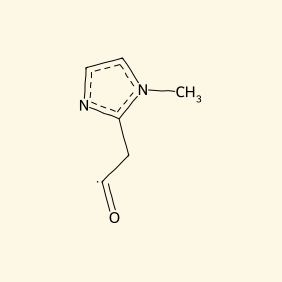 Cn1ccnc1C[C]=O